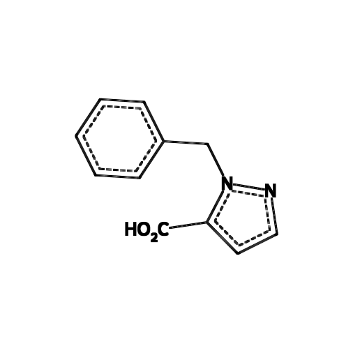 O=C(O)c1ccnn1Cc1ccccc1